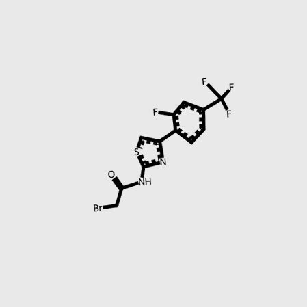 O=C(CBr)Nc1nc(-c2ccc(C(F)(F)F)cc2F)cs1